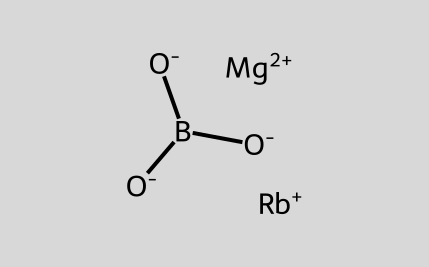 [Mg+2].[O-]B([O-])[O-].[Rb+]